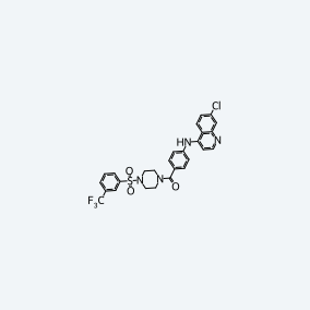 O=C(c1ccc(Nc2ccnc3cc(Cl)ccc23)cc1)N1CCN(S(=O)(=O)c2cccc(C(F)(F)F)c2)CC1